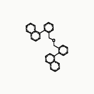 c1ccc(-c2cccc3ccccc23)c(COCc2ccccc2-c2cccc3ccccc23)c1